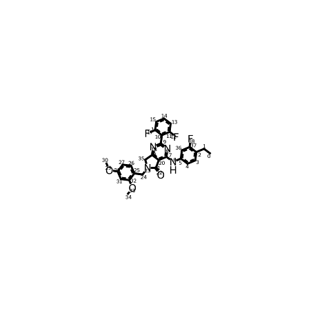 CCc1ccc(Nc2nc(-c3c(F)cccc3F)nc3c2C(=O)N(Cc2ccc(OC)cc2OC)C3)cc1F